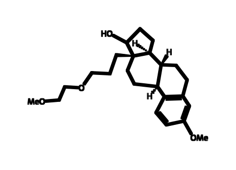 COCCOCCC[C@]12CC[C@@H]3c4ccc(OC)cc4CC[C@H]3[C@@H]1CCC2O